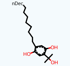 CCCCCCCCCCCCCCCCCCc1cc(O)c(C(C)(C)O)cc1O